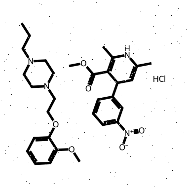 CCCN1CCN(CCOc2ccccc2OC)CC1.COC(=O)C1=C(C)NC(C)=CC1c1cccc([N+](=O)[O-])c1.Cl